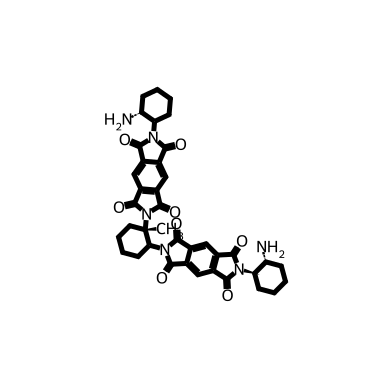 C[C@]1(n2c(=O)c3cc4c(=O)n(C5CCCC[C@H]5N)c(=O)c4cc3c2=O)CCCCC1n1c(=O)c2cc3c(=O)n([C@@H]4CCCC[C@H]4N)c(=O)c3cc2c1=O